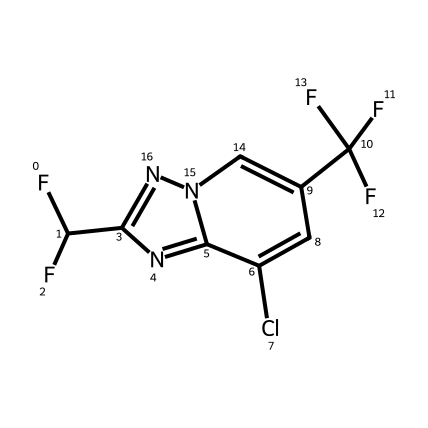 FC(F)c1nc2c(Cl)cc(C(F)(F)F)cn2n1